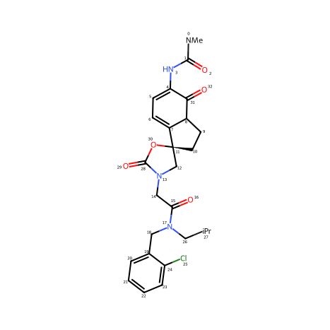 CNC(=O)NC1=CC=C2C(CC[C@]23CN(CC(=O)N(Cc2ccccc2Cl)CC(C)C)C(=O)O3)C1=O